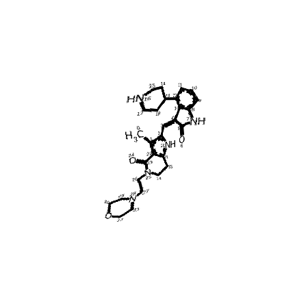 Cc1c(/C=C2\C(=O)Nc3cccc(C4CCNCC4)c32)[nH]c2c1C(=O)N(CCN1CCOCC1)CC2